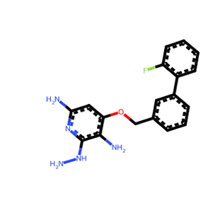 NNc1nc(N)cc(OCc2cccc(-c3ccccc3F)c2)c1N